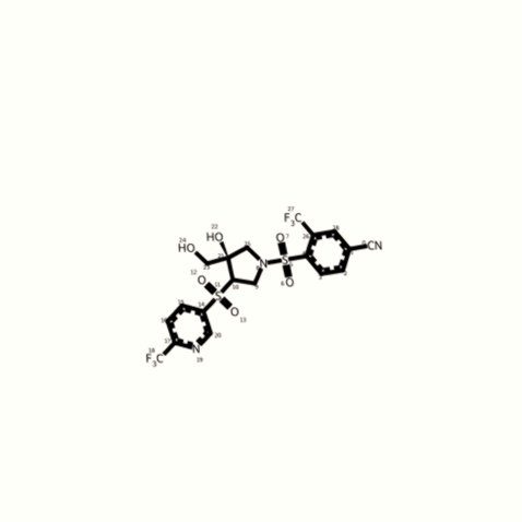 N#Cc1ccc(S(=O)(=O)N2CC(S(=O)(=O)c3ccc(C(F)(F)F)nc3)[C@](O)(CO)C2)c(C(F)(F)F)c1